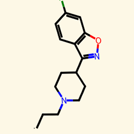 [CH2]CCN1CCC(c2noc3cc(F)ccc23)CC1